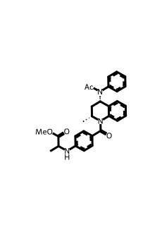 COC(=O)C(C)Nc1ccc(C(=O)N2c3ccccc3[C@@H](N(C(C)=O)c3ccccc3)C[C@H]2C)cc1